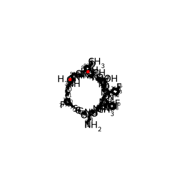 COc1ccc(C[C@@H]2NC(=O)[C@@H]([C@H](C)O)NC(=O)[C@@H]3C[C@@H](O)CN3C(=O)[C@H](Cc3c[nH]c4ccc(F)cc34)NC(=O)[C@H](Cc3c[nH]c4ccc(F)cc34)NC(=O)[C@@H](C)NC(=O)[C@H](CCCCN)NC(=O)CCSCc3cc(F)cc(c3)CSCCNC(=O)[C@]3(C)CCCN3C2=O)cc1